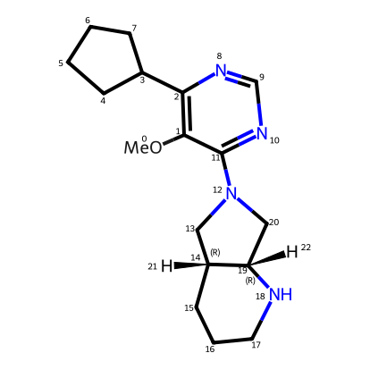 COc1c(C2CCCC2)ncnc1N1C[C@H]2CCCN[C@H]2C1